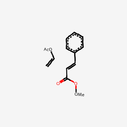 C=COC(C)=O.COOC(=O)C=Cc1ccccc1